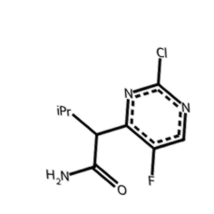 CC(C)C(C(N)=O)c1nc(Cl)ncc1F